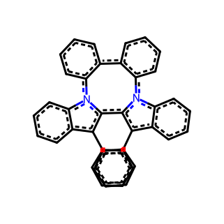 c1ccc(-c2c3ccccc3n3c4ccccc4c4ccccc4n4c5ccccc5c(-c5ccccc5)c4c23)cc1